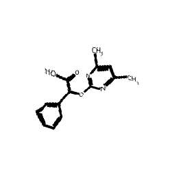 Cc1cc(C)nc(OC(C(=O)O)c2ccccc2)n1